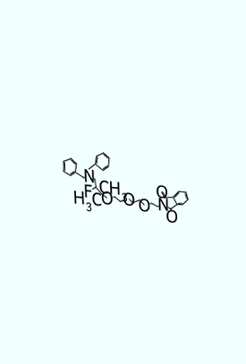 CC(C)(OCCOCCOCCN1C(=O)c2ccccc2C1=O)C(F)CN(Cc1ccccc1)Cc1ccccc1